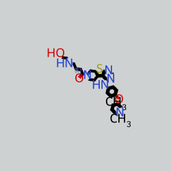 Cc1ccc(Oc2ccc(Nc3ncnc4sc5c(c34)CCN(C(=O)/C=C/CNCCO)C5)cc2C)cn1